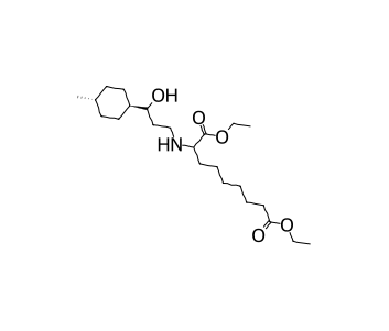 CCOC(=O)CCCCCCC(NCCC(O)[C@H]1CC[C@H](C)CC1)C(=O)OCC